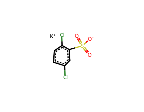 O=S(=O)([O-])c1cc(Cl)ccc1Cl.[K+]